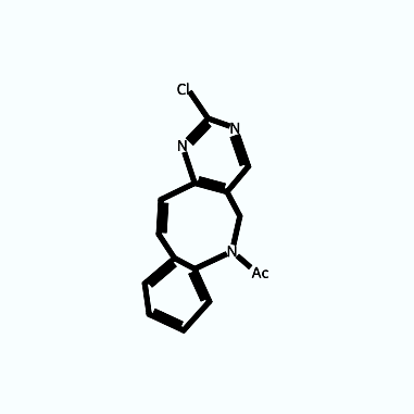 CC(=O)N1Cc2cnc(Cl)nc2C=Cc2ccccc21